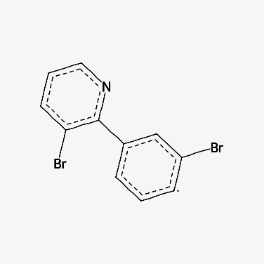 Brc1[c]ccc(-c2ncccc2Br)c1